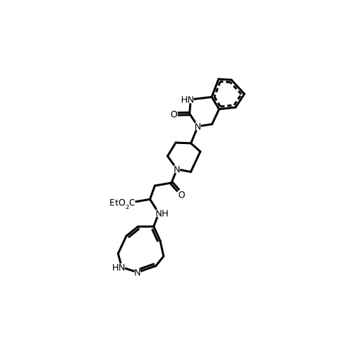 CCOC(=O)C(CC(=O)N1CCC(N2Cc3ccccc3NC2=O)CC1)NC1=C/C/C=N\NC/C=C\1